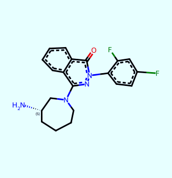 N[C@H]1CCCCN(c2nn(-c3ccc(F)cc3F)c(=O)c3ccccc23)C1